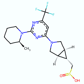 C[C@H]1CCCCN1c1nc(N2C[C@@H]3[C@H](C2)[C@H]3CS(=O)O)cc(C(F)(F)F)n1